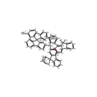 CC(C)(C)c1ccc2c(c1)C1(c3ccccc3-c3ccc(N(c4ccc5c(c4)C4(CC6CCC4C6)c4ccccc4-5)c4ccccc4-c4cccc5c4C(C)(C)c4ccccc4-5)cc31)c1cc(C(C)(C)C)ccc1-2